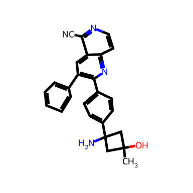 CC1(O)CC(N)(c2ccc(-c3nc4ccnc(C#N)c4cc3-c3ccccc3)cc2)C1